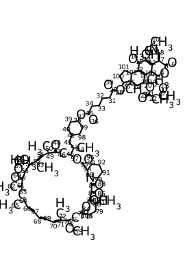 COC[C@H]1OC(=O)/C(=C/N(C)C)C2=C(O)C(=O)C3=C([C@H](OC(C)=O)CC4(C)C(OC(=O)CCCCC(=O)OC5CCC(C[C@@H](C)[C@@H]6CC(=O)[C@H](C)/C=C(\C)C(O)[C@@H](OC)C(=O)C(C)C[C@H](C)/C=C/C=C/C=C(\C)[C@@H](OC)C[C@@H]7CCC(C)C(O)(O7)C(=O)C(=O)N7CCCCC7C(=O)O6)CC5)CCC34)C21C